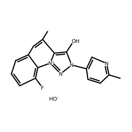 Cc1ccc(-n2n[n+]3c(c(C)cc4cccc(F)c43)c2O)cn1.[OH-]